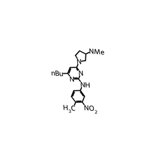 CCCCc1cc(N2CCC(NC)C2)nc(Nc2ccc(C)c([N+](=O)[O-])c2)n1